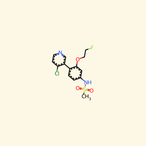 CS(=O)(=O)Nc1ccc(-c2cnccc2Cl)c(OCCF)c1